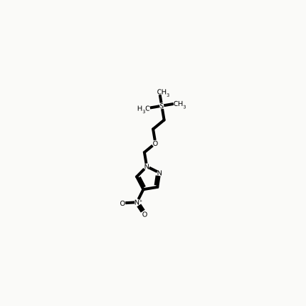 CS(C)(C)CCOCn1cc([N+](=O)[O-])cn1